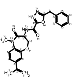 C=C(C)c1ccc2c(c1)OC[C@H](NC(=O)c1nnc(Cc3ccccc3)o1)C(=O)N2C